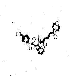 O=C(CCCC(=O)N1CCOCC1)Nc1c(C(=O)Nc2ccc(Cl)cn2)oc2cccnc12